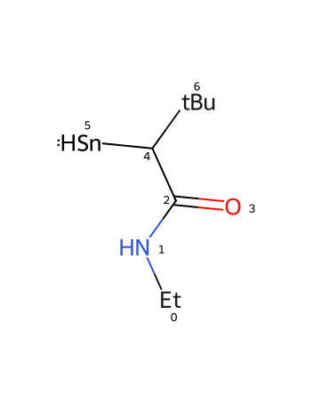 CCNC(=O)[CH]([SnH])C(C)(C)C